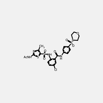 CC(=O)Nc1nc(C)c(S(=O)(=O)Nc2ccc(Cl)cc2C(=O)Nc2ccc(S(=O)(=O)N3CCOCC3)cc2)s1